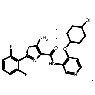 Nc1sc(-c2c(F)cccc2F)nc1C(=O)Nc1cnccc1OC1CCC(O)CC1